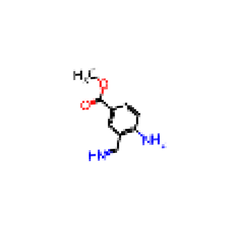 COC(=O)c1ccc(N)c(C=N)c1